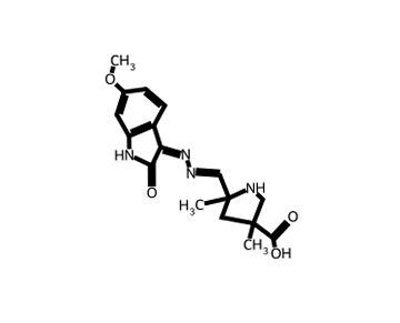 COc1ccc2c(c1)NC(=O)/C2=N\N=C\C1(C)CC(C)(C(=O)O)CN1